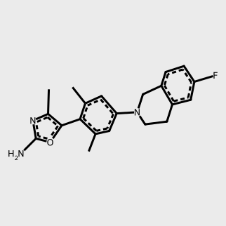 Cc1cc(N2CCc3cc(F)ccc3C2)cc(C)c1-c1oc(N)nc1C